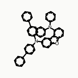 c1ccc(-c2ccc(N(c3ccc(-c4ccccc4)cc3)c3ccc4oc5cccc(N(c6ccccc6)c6ccccc6)c5c4c3)cc2)cc1